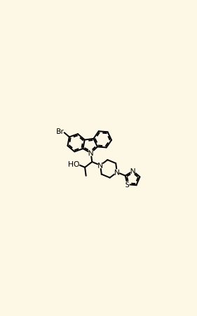 CC(O)C(N1CCN(c2nccs2)CC1)n1c2ccccc2c2cc(Br)ccc21